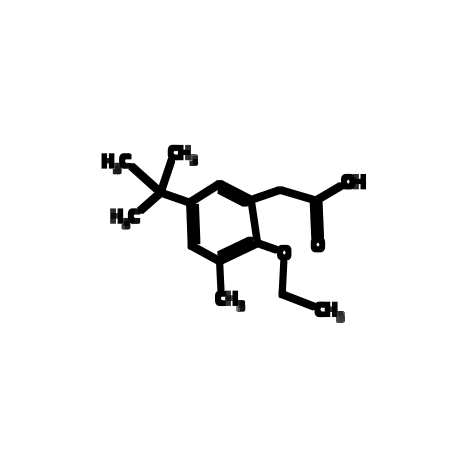 CCOc1c(C)cc(C(C)(C)C)cc1CC(=O)O